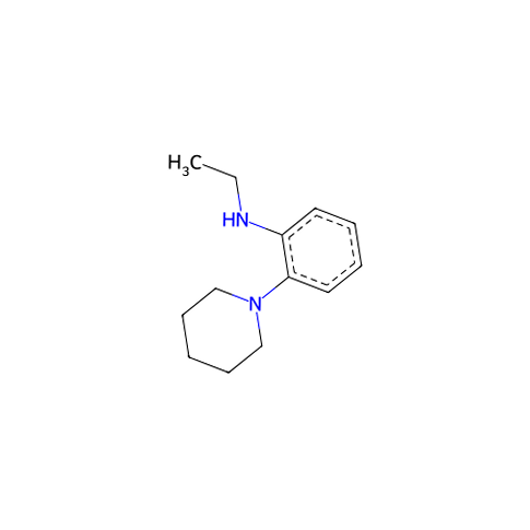 CCNc1ccccc1N1CCCCC1